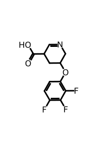 O=C(O)C1C=NCC(Oc2ccc(F)c(F)c2F)C1